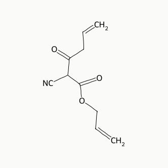 C=CCOC(=O)C(C#N)C(=O)CC=C